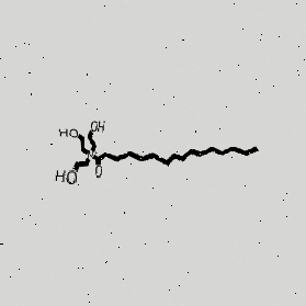 CCCCCCCCCCCCCCCC(=O)[N+](CCO)(CCO)CCO